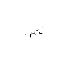 CN1CC(C(=O)NC(C)(C)C)CC1=O